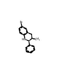 CC1Cc2cc(Br)ccc2NC1c1ccccc1